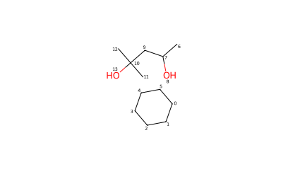 C1CCCCC1.CC(O)CC(C)(C)O